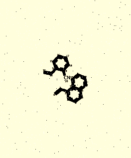 C=Cc1cccc2ccccc12.C=Cc1ccccc1C#N